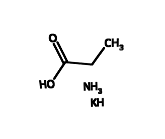 CCC(=O)O.N.[KH]